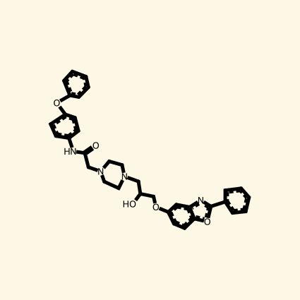 O=C(CN1CCN(CC(O)COc2ccc3oc(-c4ccccc4)nc3c2)CC1)Nc1ccc(Oc2ccccc2)cc1